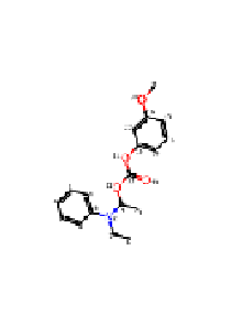 CCN(c1ccccc1)C(C)OC(=O)Oc1cccc(OC)c1